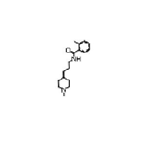 Cc1ccccc1C(=O)NCCCC1CCN(C)CC1